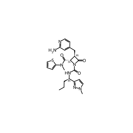 CCC[C@@H](NC(=O)N1C(=O)[C@H](Cc2ccnc(N)c2)[C@H]1C(=O)N(C)c1cccs1)c1ccn(C)n1